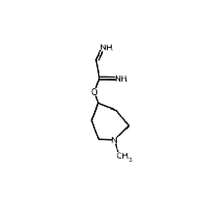 CN1CCC(OC(=N)C=N)CC1